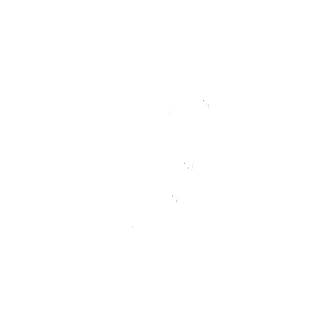 Cc1onc(-c2ccccc2)c1CNc1ccc(C(=O)O)cn1